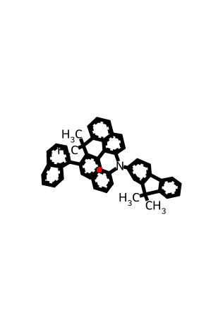 CC1(C)c2ccccc2-c2ccc(N(c3ccccc3)c3ccc4cccc5c4c3-c3cccc(-c4cccc6ccccc46)c3C5(C)C)cc21